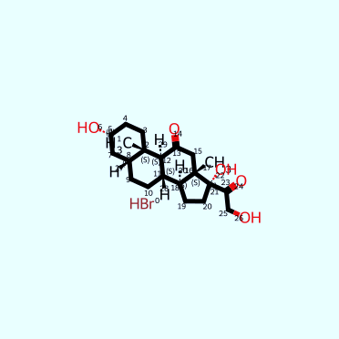 Br.C[C@]12CC[C@@H](O)C[C@H]1CC[C@@H]1[C@@H]2C(=O)C[C@@]2(C)[C@H]1CC[C@]2(O)C(=O)CO